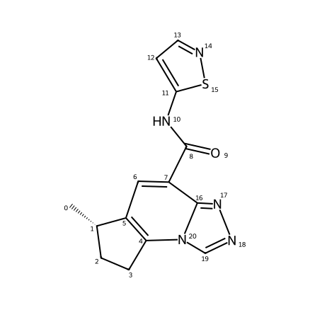 C[C@H]1CCc2c1cc(C(=O)Nc1ccns1)c1nncn21